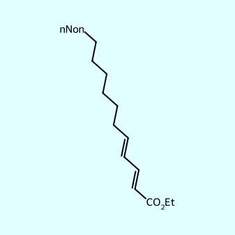 CCCCCCCCCCCCCCC/C=C/C=C/C(=O)OCC